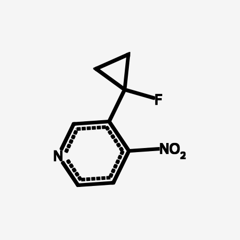 O=[N+]([O-])c1ccncc1C1(F)CC1